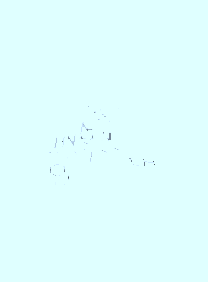 C=C/C=C\C=C(\F)C(N[C@@H](CO)CC(C)C)c1cnc(NC(=O)C2(c3ccc4c(c3)OCO4)CC2)s1